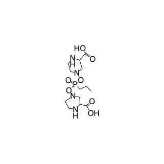 CCCP(=O)(ON1CCNC(C(=O)O)C1)ON1CCNC(C(=O)O)C1